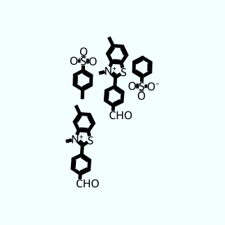 Cc1ccc(S(=O)(=O)[O-])cc1.Cc1ccc2sc(-c3ccc(C=O)cc3)[n+](C)c2c1.Cc1ccc2sc(-c3ccc(C=O)cc3)[n+](C)c2c1.O=S(=O)([O-])c1ccccc1